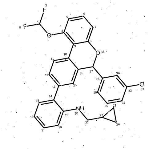 FC(F)Oc1cccc2c1-c1ccc(-c3ccccc3NCC3CC3)cc1C(c1cccc(Cl)c1)O2